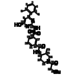 Cc1cccc(C)c1-c1cc(O)nc(NS(=O)(=O)c2cccc(C(=O)NC3CCN(C(=O)CC(C)(C)C)CC3C)c2)n1